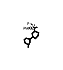 CCO[Si](C)(OC)C1CCCC(C2CCCC(C)C2)C1